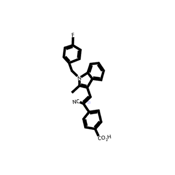 Cc1c(/C=C(\C#N)c2ccc(C(=O)O)cc2)c2ccccc2n1Cc1ccc(F)cc1